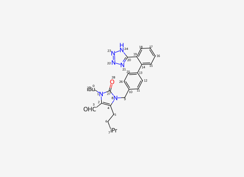 CCC(C)n1c(C=O)c(CCC(C)C)n(Cc2ccc(-c3ccccc3-c3nnn[nH]3)cc2)c1=O